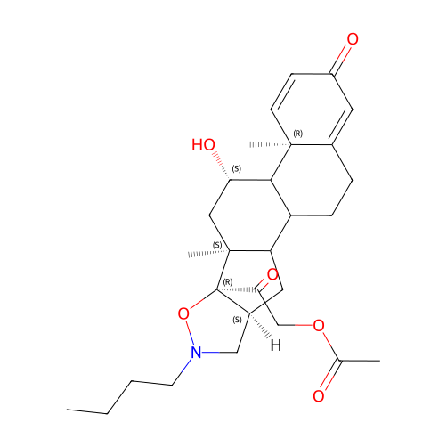 CCCCN1C[C@@H]2CC3C4CCC5=CC(=O)C=C[C@]5(C)C4[C@@H](O)C[C@]3(C)[C@]2(C(=O)COC(C)=O)O1